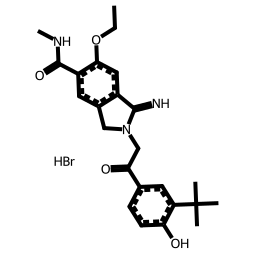 Br.CCOc1cc2c(cc1C(=O)NC)CN(CC(=O)c1ccc(O)c(C(C)(C)C)c1)C2=N